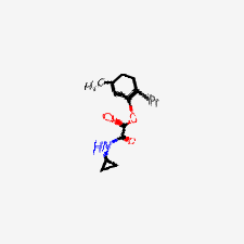 CC1CCC(C(C)C)C(OC(=O)C(=O)NC2CC2)C1